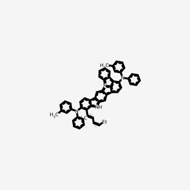 CC/C=C\C=C(/C)c1c(N(c2ccccc2)c2cccc(C)c2)ccc2c1[nH]c1cc3c4ccc(N(c5ccccc5)c5cccc(C)c5)c5c6ccccc6n(c3cc12)c45